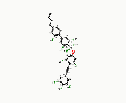 C=CCCc1ccc(-c2cc(F)c(C(F)(F)Oc3cc(F)c(C#Cc4cc(F)c(F)c(F)c4)c(F)c3)c(F)c2)c(F)c1